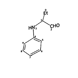 CCC(C=O)Nc1cc[c]cc1